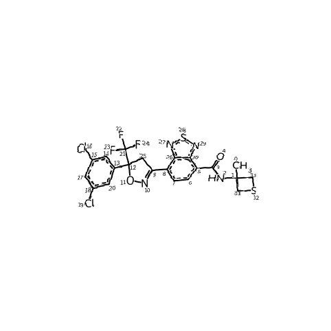 CC1(NC(=O)c2ccc(C3=NOC(c4cc(Cl)cc(Cl)c4)(C(F)(F)F)C3)c3nsnc23)CSC1